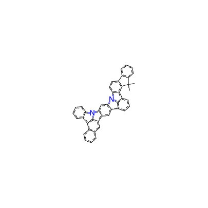 CC1(C)c2ccccc2-c2ccc3c(c21)c1cccc2c4cc5c6cc7ccccc7c7c8ccccc8n(c5cc4n3c21)c67